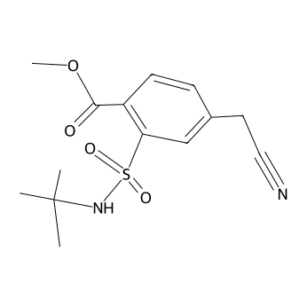 COC(=O)c1ccc(CC#N)cc1S(=O)(=O)NC(C)(C)C